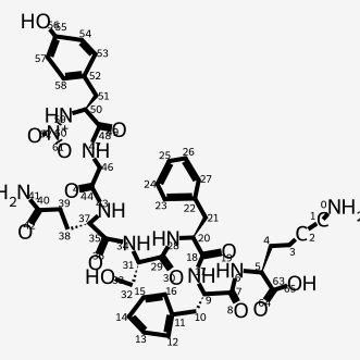 NCCCC[C@H](NC(=O)[C@H](Cc1ccccc1)NC(=O)[C@H](Cc1ccccc1)NC(=O)[C@H](CO)NC(=O)[C@H](CCC(N)=O)NC(=O)CNC(=O)[C@H](Cc1ccc(O)cc1)N[N+](=O)[O-])C(=O)O